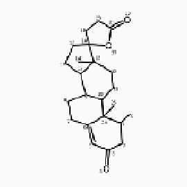 CC1CC(=O)C=C2CCC3C(CCC4(C)C3CCC43CCC(=O)O3)C21C